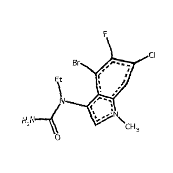 CCN(C(N)=O)c1cn(C)c2cc(Cl)c(F)c(Br)c12